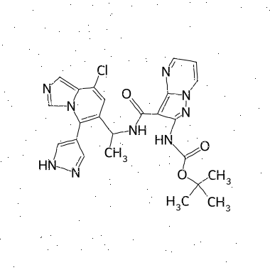 CC(NC(=O)c1c(NC(=O)OC(C)(C)C)nn2cccnc12)c1cc(Cl)c2cncn2c1-c1cn[nH]c1